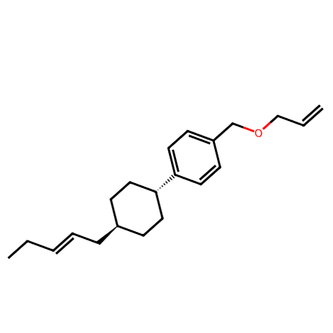 C=CCOCc1ccc([C@H]2CC[C@H](CC=CCC)CC2)cc1